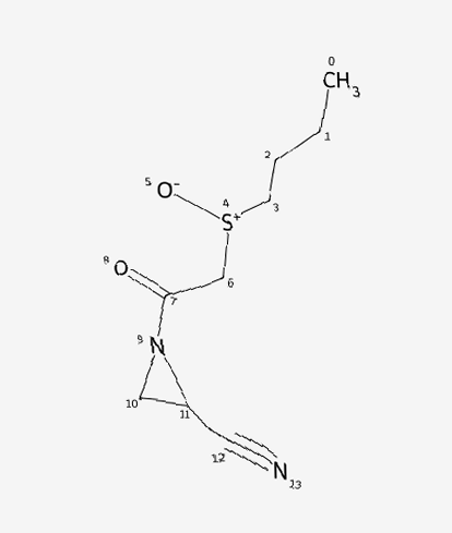 CCCC[S+]([O-])CC(=O)N1CC1C#N